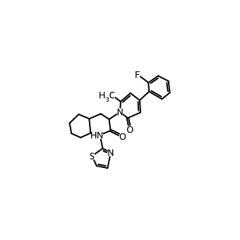 Cc1cc(-c2ccccc2F)cc(=O)n1C(CC1CCCCC1)C(=O)Nc1nccs1